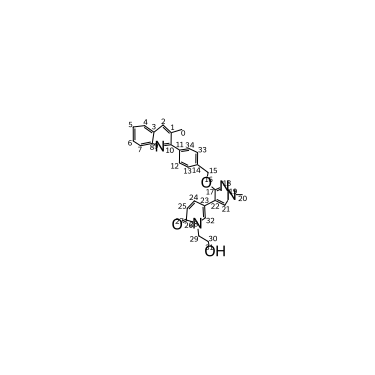 Cc1cc2ccccc2nc1-c1ccc(COc2nn(C)cc2-c2ccc(=O)n(CCO)c2)cc1